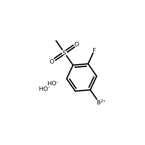 [B+2]c1ccc(S(C)(=O)=O)c(F)c1.[OH-].[OH-]